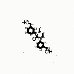 CCN(C(=O)N(CC)c1cccc(CO)c1)c1cccc(CO)c1